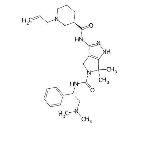 C=CCN1CCC[C@@H](C(=O)Nc2n[nH]c3c2CN(C(=O)N[C@H](CN(C)C)c2ccccc2)C3(C)C)C1